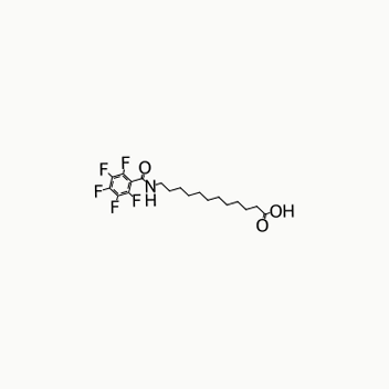 O=C(O)CCCCCCCCCCCNC(=O)c1c(F)c(F)c(F)c(F)c1F